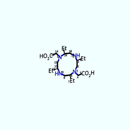 CC[C@H]1CN(CC(=O)O)[C@@H](CC)CN[C@@H](CC)CN(CC(=O)O)[C@@H](CC)CN1